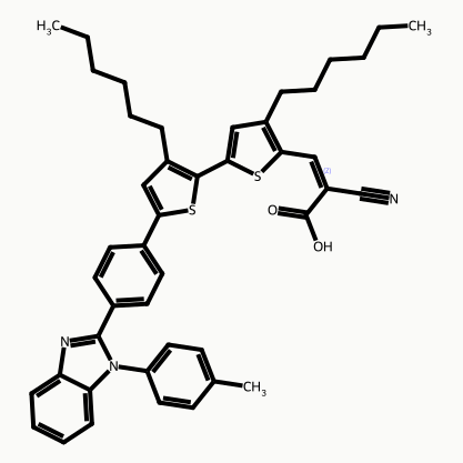 CCCCCCc1cc(-c2sc(-c3ccc(-c4nc5ccccc5n4-c4ccc(C)cc4)cc3)cc2CCCCCC)sc1/C=C(/C#N)C(=O)O